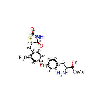 COC(=O)C(N)Cc1ccc(Oc2ccc(CC3SC(=O)NC3=O)c(C(F)(F)F)c2)cc1